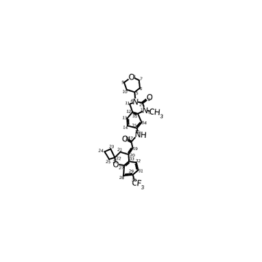 CN1C(=O)N(C2CCOCC2)Cc2ccc(NC(=O)/C=C3\CC4(CCC4)Oc4cc(C(F)(F)F)ccc43)cc21